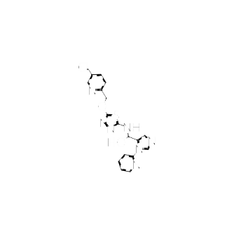 OC(Nc1nnc(OCc2ccc(Cl)cn2)s1)c1cncn1-c1ccccn1